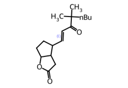 CCCCC(C)(C)C(=O)/C=C/C1CCC2OC(=O)CC12